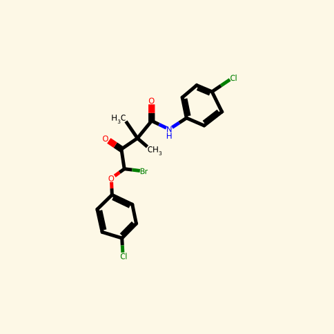 CC(C)(C(=O)Nc1ccc(Cl)cc1)C(=O)C(Br)Oc1ccc(Cl)cc1